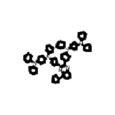 c1ccc(-c2cccc3nc(-c4ccc(N(c5ccccc5)c5ccc(N(c6ccccc6)c6ccccc6)cc5)cc4)c(-c4ccc(N(c5ccccc5)c5ccc(N(c6ccccc6)c6ccccc6)cc5)cc4)nc23)cc1